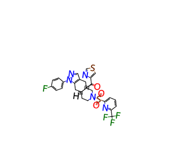 O=C(c1cscn1)[C@]12Cc3cnn(-c4ccc(F)cc4)c3C[C@@H]1CCN(S(=O)(=O)c1cccc(C(F)(F)F)n1)C2